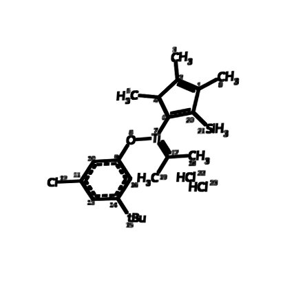 CC1=C(C)C(C)[C]([Ti]([O]c2cc(Cl)cc(C(C)(C)C)c2)=[C](C)C)=C1[SiH3].Cl.Cl